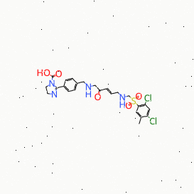 Cc1cc(S(=O)(=O)CNCC=CC(=O)CNCc2ccc(C3=NCCN3C(=O)O)cc2)c(Cl)cc1Cl